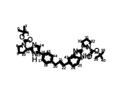 CC(C)(C)OC(=O)N1CCCC1c1ncc(-c2ccc(CC=Cc3ccc4[nH]c([C@@H]5CCCN5C(=O)OC(C)(C)C)nc4c3)cc2)[nH]1